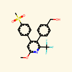 COc1cc(-c2ccc(S(C)(=O)=O)cc2)c(-c2ccc(CO)cc2)c(C(F)(F)F)n1